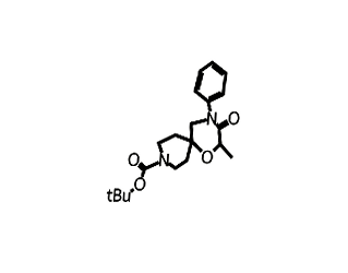 CC1OC2(CCN(C(=O)OC(C)(C)C)CC2)CN(c2ccccc2)C1=O